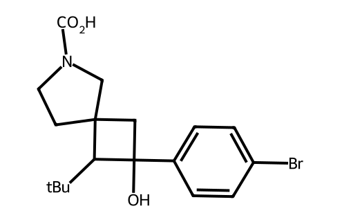 CC(C)(C)C1C2(CCN(C(=O)O)C2)CC1(O)c1ccc(Br)cc1